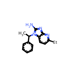 CCc1ccc2c(n1)nc(N)n2C(C)c1ccccc1